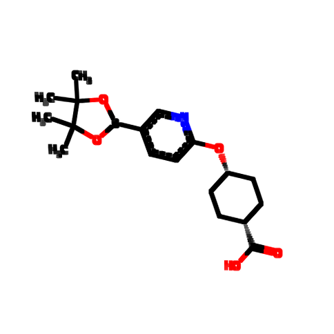 CC1(C)OB(c2ccc(O[C@H]3CC[C@@H](C(=O)O)CC3)nc2)OC1(C)C